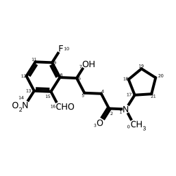 CN(C(=O)CCC(O)c1c(F)ccc([N+](=O)[O-])c1C=O)C1CCCC1